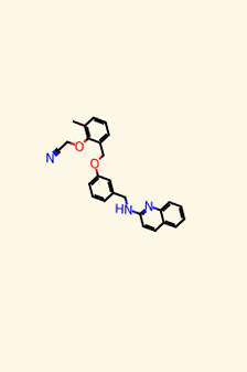 Cc1cccc(COc2cccc(CNc3ccc4ccccc4n3)c2)c1OCC#N